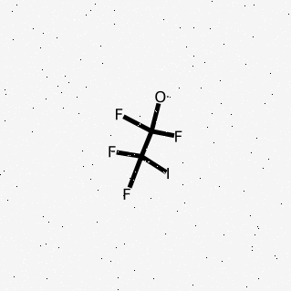 [O]C(F)(F)C(F)(F)I